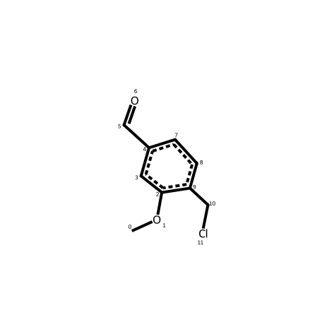 COc1cc(C=O)ccc1CCl